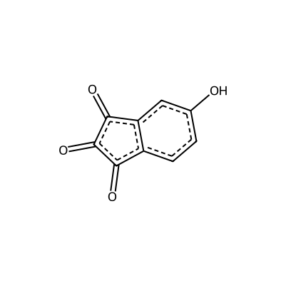 O=c1c(=O)c2ccc(O)cc2c1=O